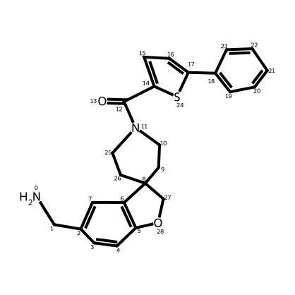 NCc1ccc2c(c1)C1(CCN(C(=O)c3ccc(-c4ccccc4)s3)CC1)CO2